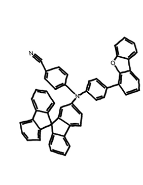 N#Cc1ccc(N(c2ccc(-c3cccc4c3oc3ccccc34)cc2)c2ccc3c(c2)C2(c4ccccc4-c4ccccc42)c2ccccc2-3)cc1